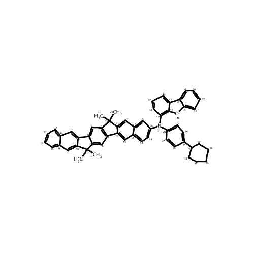 CC1(C)c2cc3c(cc2-c2cc4ccccc4cc21)C(C)(C)c1cc2cc(N(c4ccc(C5CCCCC5)cc4)c4cccc5c4oc4ccccc45)ccc2cc1-3